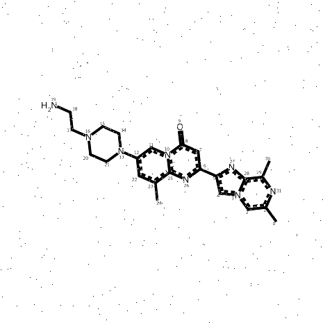 Cc1cn2cc(-c3cc(=O)n4cc(N5CCN(CCN)CC5)cc(C)c4n3)nc2c(C)n1